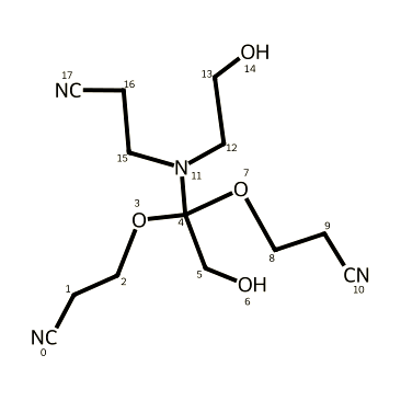 N#CCCOC(CO)(OCCC#N)N(CCO)CCC#N